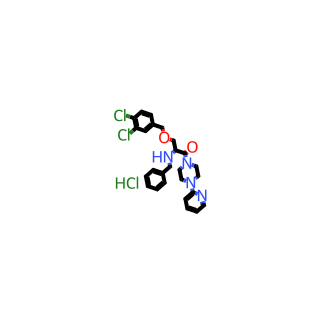 Cl.O=C(C(COCc1ccc(Cl)c(Cl)c1)NCc1ccccc1)N1CCN(c2ccccn2)CC1